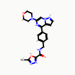 CC(C)(C)c1nnc(C(=O)NCc2ccc(-c3nc(N4CCOCC4)cn4nccc34)cc2)o1